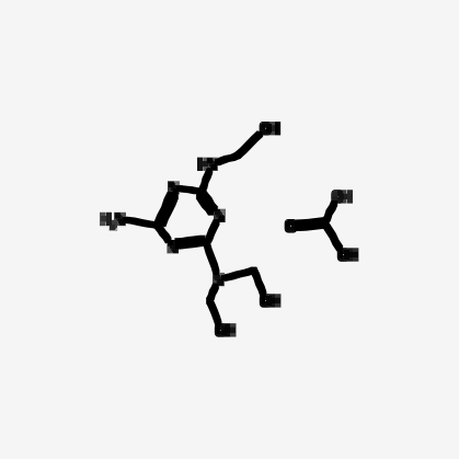 Nc1nc(NCO)nc(N(CO)CO)n1.O=C(O)O